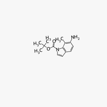 Cc1c(N)ccc2ccn(C(=O)OC(C)(C)C)c12